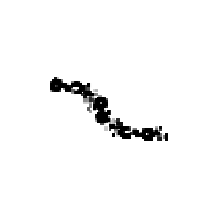 Cc1c(NC(=O)c2nc3c(n2C)CCN(CCc2ccc(C(=O)O)cc2)C3)cccc1-c1cccc(NC(=O)c2nc3c(n2C)CCN(CCC24CCC(CC2)C4)C3)c1Cl